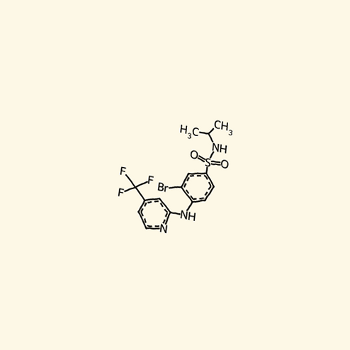 CC(C)NS(=O)(=O)c1ccc(Nc2cc(C(F)(F)F)ccn2)c(Br)c1